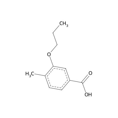 CCCOc1cc(C(=O)O)ccc1C